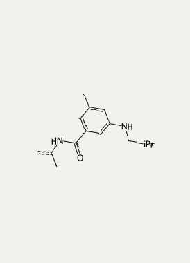 C=C(C)NC(=O)c1cc(C)cc(NCC(C)C)c1